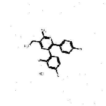 Cc1nc(-c2ccc(Cl)cc2)c(-c2ccc(Cl)cc2Cl)cc1CN.Cl